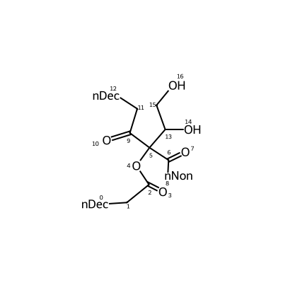 CCCCCCCCCCCC(=O)OC(C(=O)CCCCCCCCC)(C(=O)CCCCCCCCCCC)C(O)CO